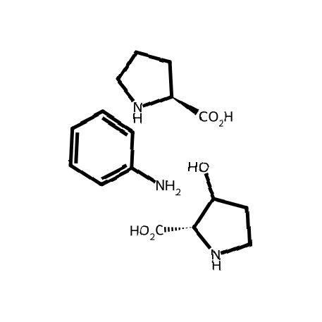 Nc1ccccc1.O=C(O)[C@@H]1CCCN1.O=C(O)[C@H]1NCCC1O